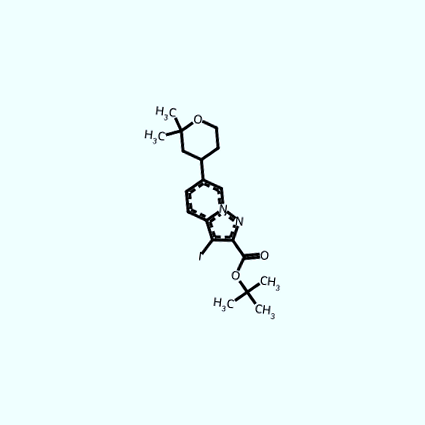 CC(C)(C)OC(=O)c1nn2cc(C3CCOC(C)(C)C3)ccc2c1I